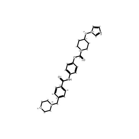 O=C(Nc1ccc(OC(=O)N2CCC(On3ccnc3)CC2)cc1)c1ccc(CN2CCOCC2)cc1